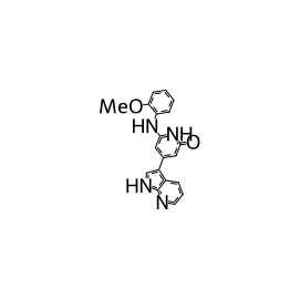 COc1ccccc1Nc1cc(-c2c[nH]c3ncccc23)cc(=O)[nH]1